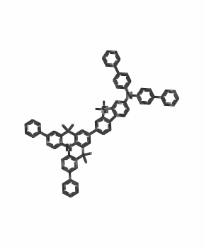 CC1(C)c2cc(-c3ccccc3)ccc2N2c3ccc(-c4ccccc4)cc3C(C)(C)c3cc(-c4ccc5c(c4)[Si](C)(C)c4cc(N(c6ccc(-c7ccccc7)cc6)c6ccc(-c7ccccc7)cc6)ccc4-5)cc1c32